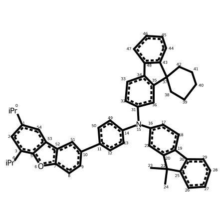 CC(C)c1cc(C(C)C)c2oc3ccc(-c4ccc(N(c5ccc6c(c5)C(C)(C)c5ccccc5-6)c5ccc6c(c5)C5(CCCCC5)c5ccccc5-6)cc4)cc3c2c1